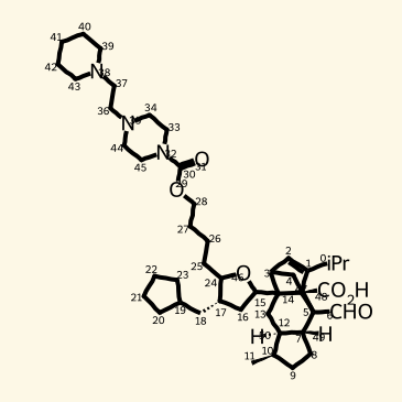 CC(C)C1=CC2CC3(C=O)[C@@H]4CC[C@@H](C)[C@H]4CC2(C2C[C@H](CC4CCCC4)C(CCCCOC(=O)N4CCN(CCN5CCCCC5)CC4)O2)[C@]13C(=O)O